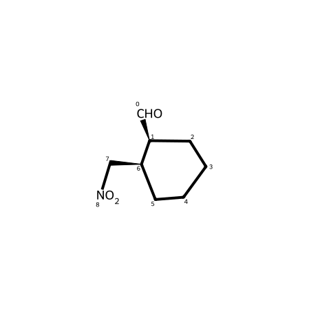 O=C[C@H]1CCCC[C@H]1C[N+](=O)[O-]